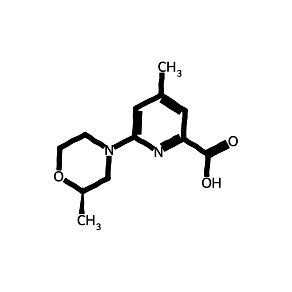 Cc1cc(C(=O)O)nc(N2CCO[C@H](C)C2)c1